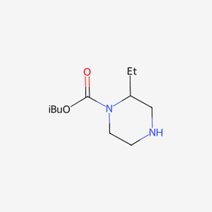 CCC1CNCCN1C(=O)OCC(C)C